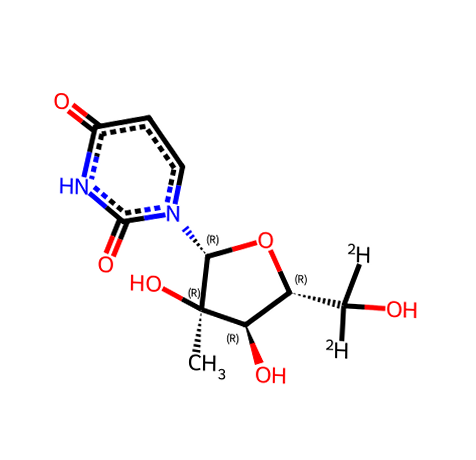 [2H]C([2H])(O)[C@H]1O[C@@H](n2ccc(=O)[nH]c2=O)[C@](C)(O)[C@@H]1O